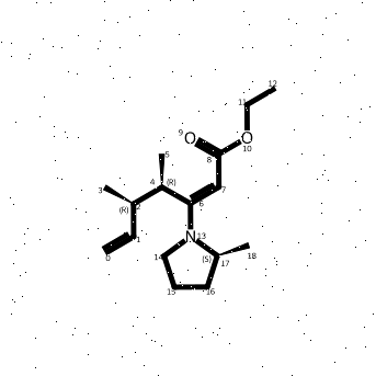 C=C[C@@H](C)[C@@H](C)C(=CC(=O)OCC)N1CCC[C@@H]1C